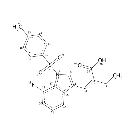 CCC(=Cc1cn(S(=O)(=O)c2ccc(C)cc2)c2c(F)cccc12)C(=O)O